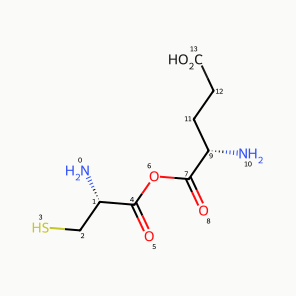 N[C@@H](CS)C(=O)OC(=O)[C@@H](N)CCC(=O)O